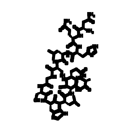 CC(C)C[C@H](NC(=O)[C@H](Cc1c[nH]cn1)NC(=O)[C@H](CCC(N)=O)NC(=O)[C@@H](N)CC(N)=O)C(=O)N[C@@H](CS)C(=O)NCC(=O)N[C@@H](CO)C(=O)N[C@@H](Cc1c[nH]cn1)C(=O)N[C@@H](CC(C)C)C(=O)N[C@H](C(=O)N[C@@H](CCC(=O)O)C(=O)N[C@@H](C)C(=O)O)C(C)C